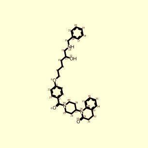 O=C(c1ccc(OCCCCC(O)CNCc2ccccc2)cc1)N1CCC(N2C(=O)CCc3ccccc32)CC1